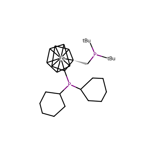 CC(C)(C)P(C[C@]12[CH]3[CH]4[CH]5[C]1(P(C1CCCCC1)C1CCCCC1)[Fe]45321678[CH]2[CH]1[CH]6[CH]7[CH]28)C(C)(C)C